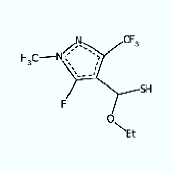 CCOC(S)c1c(C(F)(F)F)nn(C)c1F